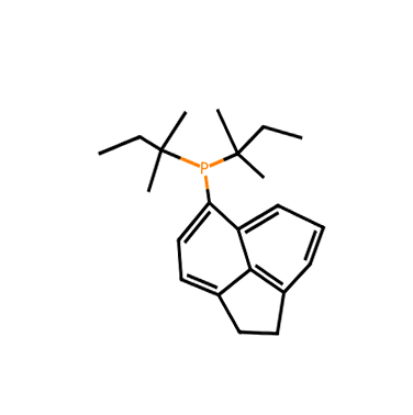 CCC(C)(C)P(c1ccc2c3c(cccc13)CC2)C(C)(C)CC